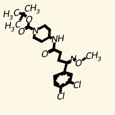 CON=C(CCC(=O)NC1CCN(C(=O)OC(C)(C)C)CC1)c1ccc(Cl)c(Cl)c1